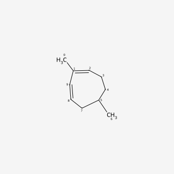 CC1=CCCC(C)CC=C1